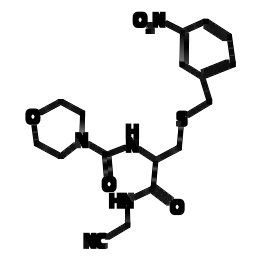 N#CCNC(=O)C(CSCc1cccc([N+](=O)[O-])c1)NC(=O)N1CCOCC1